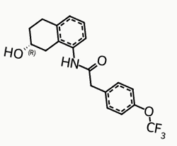 O=C(Cc1ccc(OC(F)(F)F)cc1)Nc1cccc2c1C[C@H](O)CC2